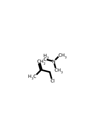 C=C(C)CCl.CN(C)C